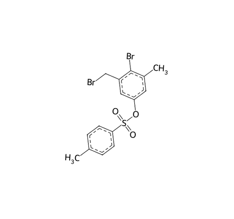 Cc1ccc(S(=O)(=O)Oc2cc(C)c(Br)c(CBr)c2)cc1